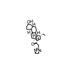 CC[C@@H]1C[C@H](C(=O)Cn2nccn2)[C@@]2(C)CC[C@H]3[C@@H](CC[C@@H]4C[C@](C)(O)CC[C@@H]43)[C@H]12